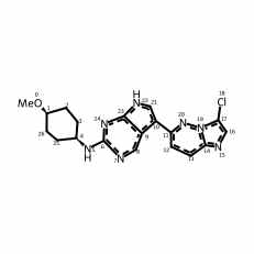 CO[C@H]1CC[C@@H](Nc2ncc3c(-c4ccc5ncc(Cl)n5n4)c[nH]c3n2)CC1